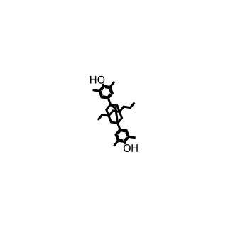 CCCC12CC3(CC)CC(c4cc(C)c(O)c(C)c4)(C1)CC(c1cc(C)c(O)c(C)c1)(C3)C2